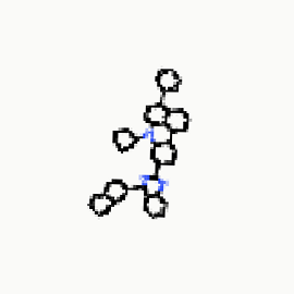 c1ccc(-c2ccc3c4c(cccc24)-c2ccc(-c4nc(-c5ccc6ccccc6c5)c5ccccc5n4)cc2N3c2ccccc2)cc1